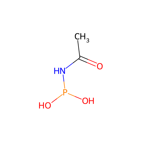 CC(=O)NP(O)O